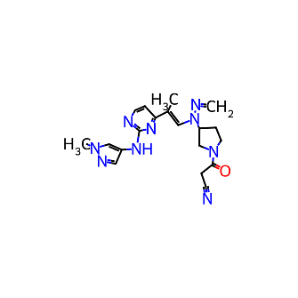 C=NN(/C=C(\C)c1ccnc(Nc2cnn(C)c2)n1)C1CCN(C(=O)CC#N)C1